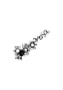 COCCOCCOc1cccc(Nc2ccc3c(c2)[C@@]24CCCC[C@H]2[C@@H](C3)N(C)CC4)c1